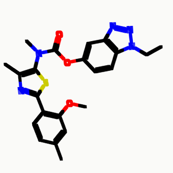 CCn1nnc2cc(OC(=O)N(C)c3sc(-c4ccc(C)cc4OC)nc3C)ccc21